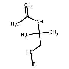 C=C(C)NC(C)(C)CBC(C)C